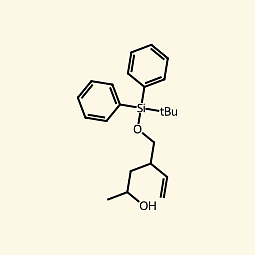 C=CC(CO[Si](c1ccccc1)(c1ccccc1)C(C)(C)C)CC(C)O